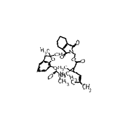 CC(C)=CC1C(C(=O)OCN2C(=O)C3=C(CCCC3)C2=O)C1(C)C.CNC(=O)Oc1cccc2c1OC(C)(C)C2